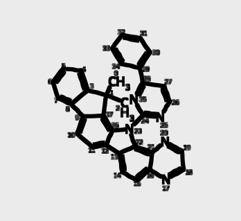 CC1(C)c2ccccc2-c2ccc3c4ccc5nccnc5c4n(-c4nccc(-c5ccccc5)n4)c3c21